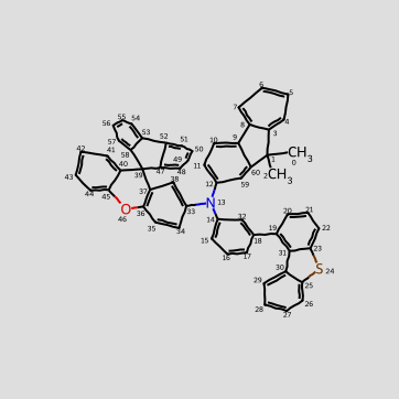 CC1(C)c2ccccc2-c2ccc(N(c3cccc(-c4cccc5sc6ccccc6c45)c3)c3ccc4c(c3)C3(c5ccccc5O4)c4ccccc4-c4ccccc43)cc21